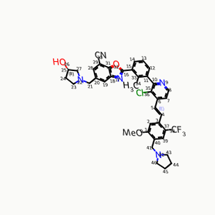 COc1cc(/C=C/c2ccnc(-c3cccc(-c4nc5cc(CN6CC[C@@H](O)C6)cc(C#N)c5o4)c3C)c2Cl)c(C(F)(F)F)cc1CN1CCCC1